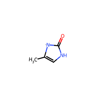 CC1=CNC(=O)[N]1